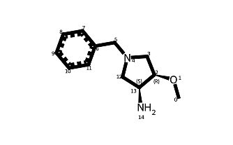 CO[C@@H]1CN(Cc2ccccc2)C[C@@H]1N